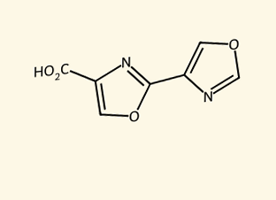 O=C(O)c1coc(-c2cocn2)n1